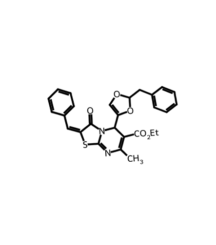 CCOC(=O)C1=C(C)N=c2sc(=Cc3ccccc3)c(=O)n2C1C1=COC(Cc2ccccc2)O1